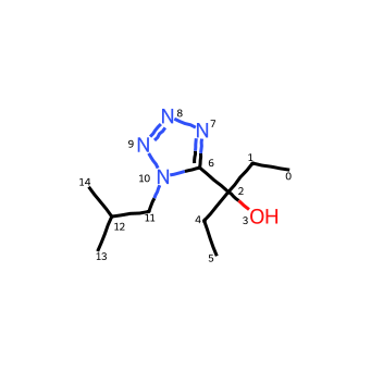 CCC(O)(CC)c1nnnn1CC(C)C